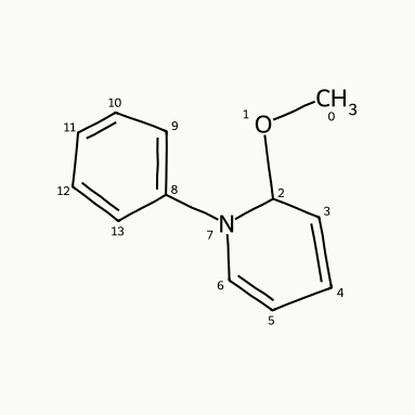 COC1C=CC=CN1c1ccccc1